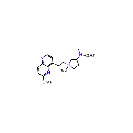 COc1ccc2nccc(CC[N+]3(C(C)(C)C)CCC(N(C)C(=O)[O-])C3)c2n1